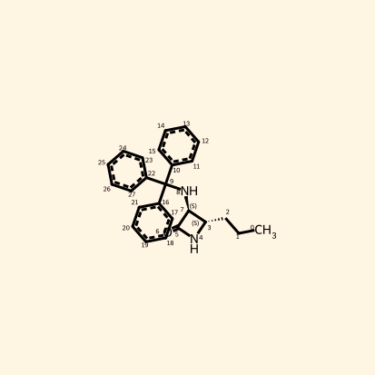 CCC[C@@H]1NC(=O)[C@H]1NC(c1ccccc1)(c1ccccc1)c1ccccc1